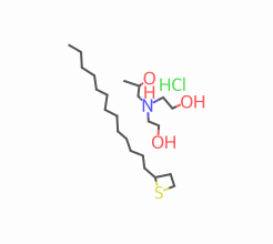 CC(O)CN(CCO)CCO.CCCCCCCCCCCCCC1CCS1.Cl